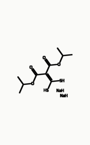 CC(C)OC(=O)C(C(=O)OC(C)C)=C(S)S.[NaH].[NaH]